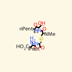 CCCCCC(CC)C(=O)[C@@H](NC(=O)[C@H](CSSC[C@H](NC(=O)[C@@H](N)CC(=O)O)C(=O)C(C)CCC)NC)[C@@H](C)O